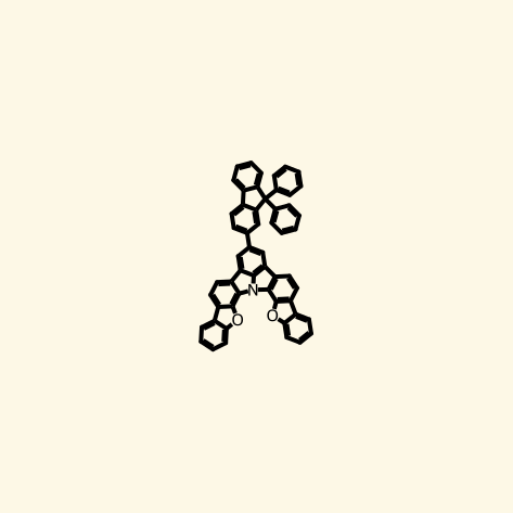 c1ccc(C2(c3ccccc3)c3ccccc3-c3ccc(-c4cc5c6ccc7c8ccccc8oc7c6n6c5c(c4)c4ccc5c7ccccc7oc5c46)cc32)cc1